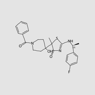 C[C@H](NC1=NC(=O)C(C)(C2(O)CCN(C(=O)c3ccccc3)CC2)S1)c1ccc(F)cc1